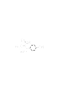 CCNC(C)[C@@H](O)c1ccc(C)cc1